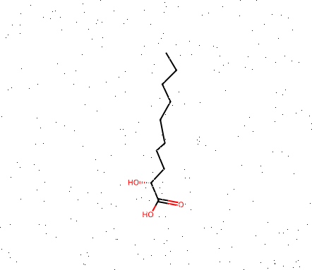 CCCCCCCC[C@@H](O)C(=O)O